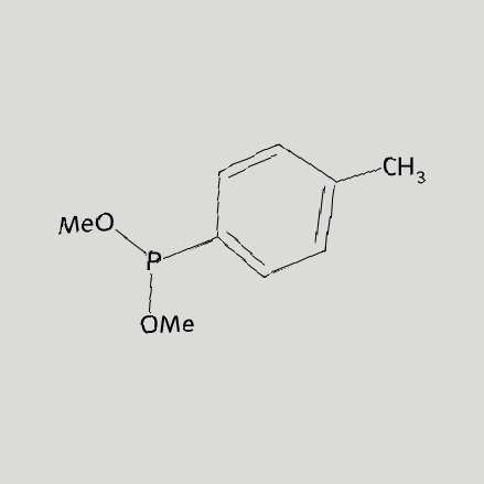 COP(OC)c1ccc(C)cc1